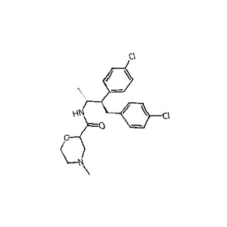 C[C@@H](NC(=O)C1CN(C)CCO1)[C@H](Cc1ccc(Cl)cc1)c1ccc(Cl)cc1